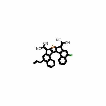 C=CCc1cc2c(c3c1C=CCC3)-c1c(sc3c1-c1c(cc(F)c4ccccc14)C3=C(C#N)C#N)C2=C(C#N)C#N